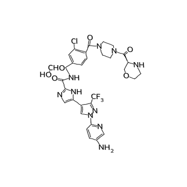 Nc1ccc(-n2cc(-c3cnc(C(=O)NCc4ccc(C(=O)N5CCN(C(=O)[C@@H]6COCCN6)CC5)c(Cl)c4)[nH]3)c(C(F)(F)F)n2)nc1.O=CO